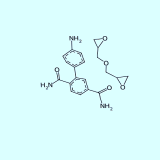 C(OCC1CO1)C1CO1.NC(=O)c1ccc(C(N)=O)c(-c2ccc(N)cc2)c1